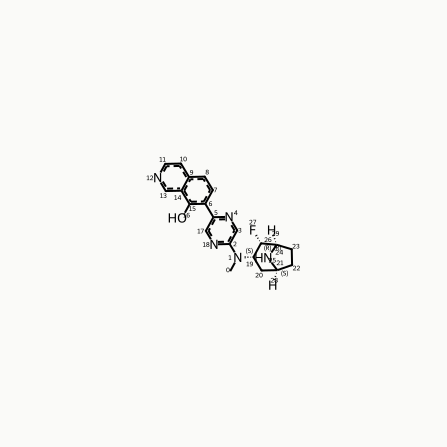 CN(c1cnc(-c2ccc3ccncc3c2O)cn1)[C@H]1C[C@@H]2CC[C@@H](N2)[C@H]1F